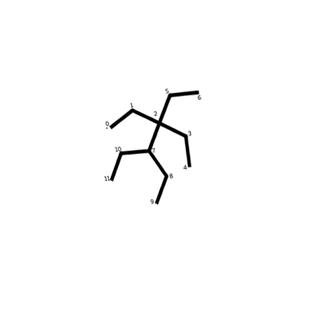 [CH2]CC(CC)(CC)C(CC)CC